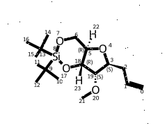 C=CC[C@@H]1O[C@@H]2CO[Si](C(C)(C)C)(C(C)(C)C)O[C@H]2[C@H]1OC